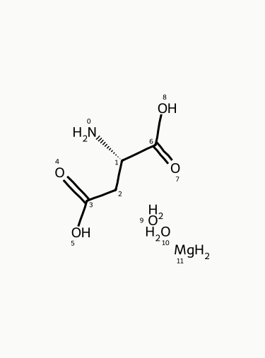 N[C@@H](CC(=O)O)C(=O)O.O.O.[MgH2]